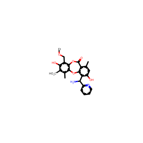 CCOCc1c(O)c(C(=O)O)c(C)c2c1OC(=O)c1c(C)cc(O)c(C(N)c3ccccn3)c1O2